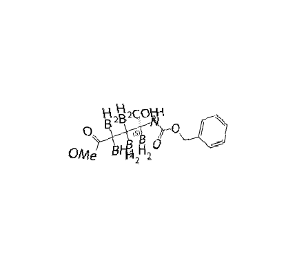 BC(B)(C(=O)OC)C(B)(B)[C@](B)(NC(=O)OCc1ccccc1)C(=O)O